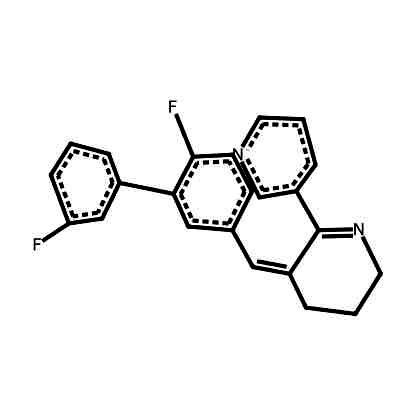 Fc1cccc(-c2cc(/C=C3/CCCN=C3c3cccnc3)ccc2F)c1